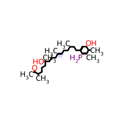 CC(=O)C(C)CCCC(C)(O)CCC/C(C)=C/CCC(C)CCC1=CC(O)C(C)C(C)=C1P